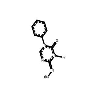 CC(C)n1c(=NC(C)(C)C)ncn(-c2ccccc2)c1=O